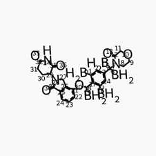 Bc1cc(C(B)(B)N2CCOCC2=O)cc(B)c1C(B)Oc1cccc2c1CN(C1CCC(=O)NC1=O)C2=O